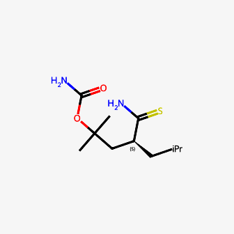 CC(C)C[C@@H](CC(C)(C)OC(N)=O)C(N)=S